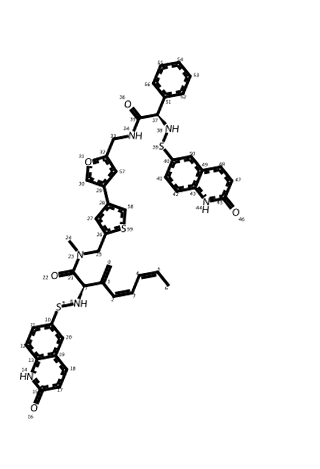 C=C(/C=C\C=C/C)[C@@H](NSc1ccc2[nH]c(=O)ccc2c1)C(=O)N(C)Cc1cc(-c2coc(CNC(=O)[C@H](NSc3ccc4[nH]c(=O)ccc4c3)c3ccccc3)c2)cs1